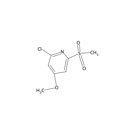 COc1cc(Cl)nc(S(C)(=O)=O)c1